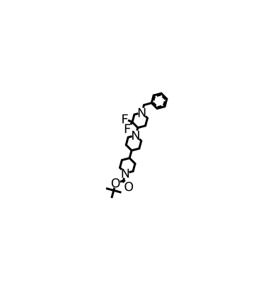 CC(C)(C)OC(=O)N1CCC(C2CCN(C3CCN(Cc4ccccc4)CC3(F)F)CC2)CC1